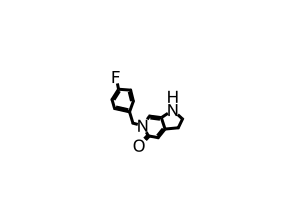 O=c1cc2c(cn1Cc1ccc(F)cc1)NCC2